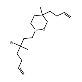 C=CCCC(C)(CC)CCB1CCC(C)(CCC=C)CO1